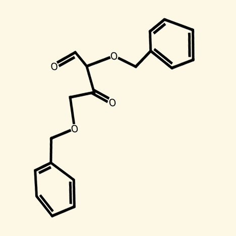 O=CC(OCc1ccccc1)C(=O)COCc1ccccc1